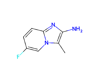 Cc1c(N)nc2ccc(F)cn12